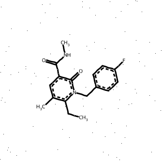 CCc1c(C)cc(C(=O)NC)c(=O)n1Cc1ccc(F)cc1